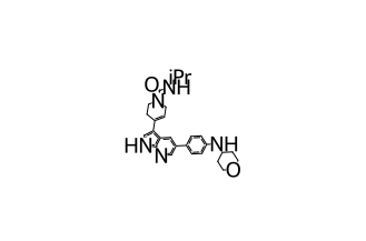 CC(C)NC(=O)N1CC=C(c2c[nH]c3ncc(-c4ccc(NC5CCOCC5)cc4)cc23)CC1